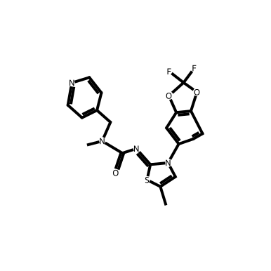 Cc1cn(-c2ccc3c(c2)OC(F)(F)O3)/c(=N/C(=O)N(C)Cc2ccncc2)s1